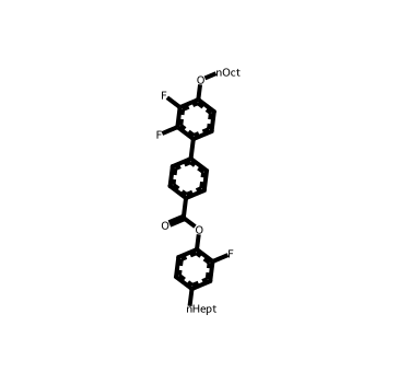 CCCCCCCCOc1ccc(-c2ccc(C(=O)Oc3ccc(CCCCCCC)cc3F)cc2)c(F)c1F